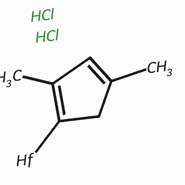 CC1=CC(C)=[C]([Hf])C1.Cl.Cl